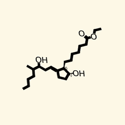 CCCCC(C)C(O)CC=C1CC[C@@H](O)[C@@H]1CCCCCCC(=O)OCC